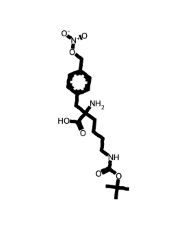 CC(C)(C)OC(=O)NCCCCC(N)(Cc1ccc(CO[N+](=O)[O-])cc1)C(=O)O